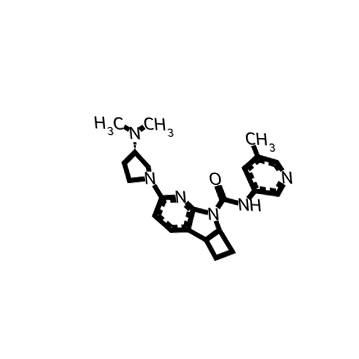 Cc1cncc(NC(=O)N2c3nc(N4CC[C@H](N(C)C)C4)ccc3C3CCC32)c1